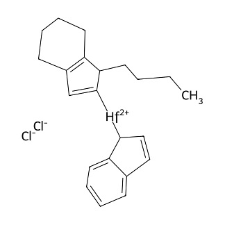 CCCCC1[C]([Hf+2][CH]2C=Cc3ccccc32)=CC2=C1CCCC2.[Cl-].[Cl-]